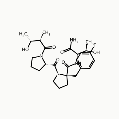 C[C@H](C(=O)N1CCC[C@H]1C(=O)N1CCC[C@@]1(Cc1ccc(F)cc1)C(=O)N[C@H](C(N)=O)[C@@H](C)O)[C@@H](C)O